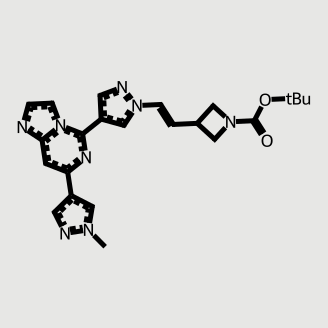 Cn1cc(-c2cc3nccn3c(-c3cnn(C=CC4CN(C(=O)OC(C)(C)C)C4)c3)n2)cn1